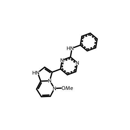 CON1C=CC=C2NC=C(c3ccnc(Nc4ccccc4)n3)N21